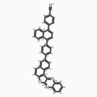 N#Cc1ccc(-c2ccc(-c3ccc(-c4ccc5c(ccc6oc7nc8ccccc8nc7c65)c4)cc3)c3ccccc23)cc1